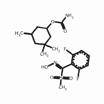 CC1CC(OC(N)=O)CC(C)(C)C1.CS(=O)(=O)C(=NO)c1c(F)cccc1F